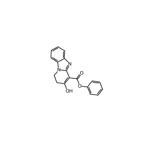 O=C(Oc1ccccc1)C1=C(O)CCn2c1nc1ccccc12